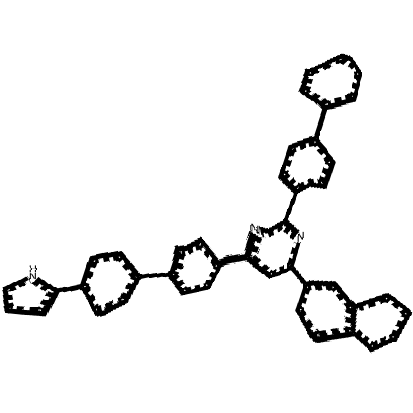 c1ccc(-c2ccc(-c3nc(-c4ccc(-c5ccc(-c6ccc[nH]6)cc5)cc4)cc(-c4ccc5ccccc5c4)n3)cc2)cc1